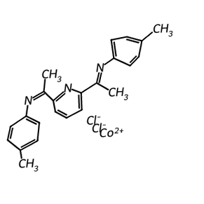 CC(=Nc1ccc(C)cc1)c1cccc(C(C)=Nc2ccc(C)cc2)n1.[Cl-].[Cl-].[Co+2]